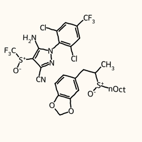 CCCCCCCC[S+]([O-])C(C)Cc1ccc2c(c1)OCO2.N#Cc1nn(-c2c(Cl)cc(C(F)(F)F)cc2Cl)c(N)c1[S+]([O-])C(F)(F)F